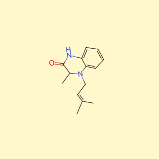 CC(C)=CCN1c2ccccc2NC(=O)C1C